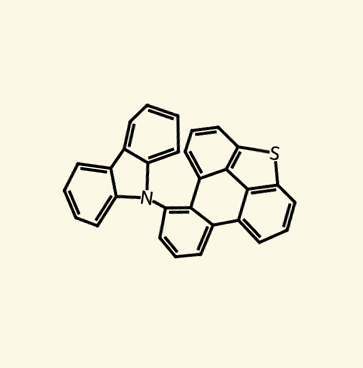 c1cc(-n2c3ccccc3c3ccccc32)c2c(c1)c1cccc3sc4cccc2c4c31